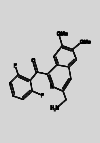 COc1cc2cc(CN)nc(C(=O)c3c(F)cccc3F)c2cc1OC